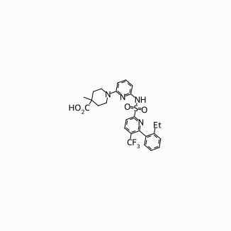 CCc1ccccc1-c1nc(S(=O)(=O)Nc2cccc(N3CCC(C)(C(=O)O)CC3)n2)ccc1C(F)(F)F